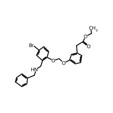 CCOC(=O)Cc1cccc(OCOc2ccc(Br)cc2CNCc2ccccc2)c1